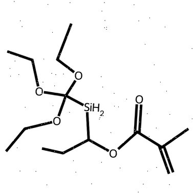 C=C(C)C(=O)OC(CC)[SiH2]C(OCC)(OCC)OCC